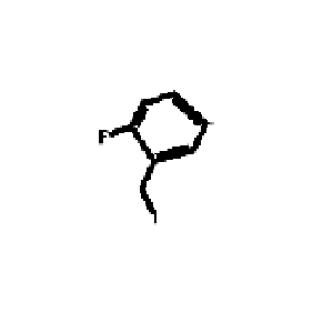 Fc1c[c][c]cc1CI